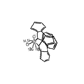 CCC[CH2][Zr]([SiH3])([Cl])([Cl])([CH2]CCC)([CH]1c2ccccc2-c2ccccc21)[CH]1c2ccccc2-c2ccccc21